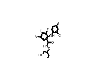 CCC(CO)ONC(=O)c1cc(Br)c(F)c(F)c1Nc1ccc(I)cc1Cl